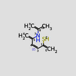 C=C(S)/C=C\C(=C)NC(=C)C